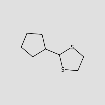 C1CCC(C2SCCS2)C1